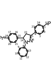 CC(C)c1ccc(C2=NN(c3ccccc3)C(c3ccc(C(C)C)cc3)C2)cc1